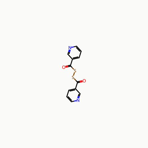 O=C(SSC(=O)c1cccnc1)c1cccnc1